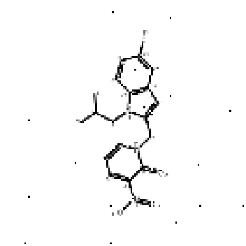 CC(C)Cn1c(Cn2cccc([N+](=O)[O-])c2=O)cc2cc(F)ccc21